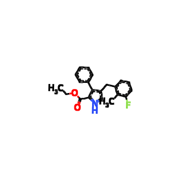 CCOC(=O)c1[nH]cc(Cc2cccc(F)c2C)c1-c1ccccc1